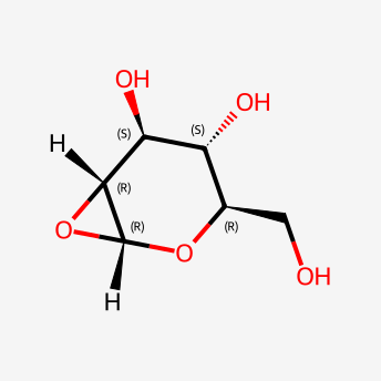 OC[C@H]1O[C@@H]2O[C@@H]2[C@@H](O)[C@@H]1O